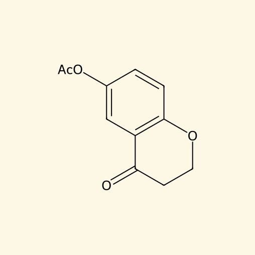 CC(=O)Oc1ccc2c(c1)C(=O)CCO2